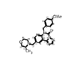 COc1ccc(Cn2c(=O)n3ncnc3c3cc(CN4CCOC[C@@H]4C)cnc32)cc1